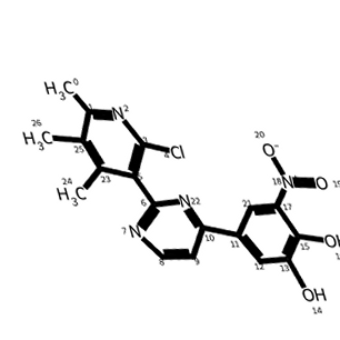 Cc1nc(Cl)c(-c2nccc(-c3cc(O)c(O)c([N+](=O)[O-])c3)n2)c(C)c1C